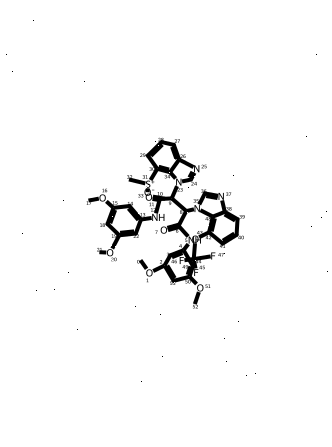 COc1cc(NC(=O)C(C(C(=O)Nc2cc(OC)cc(OC)c2)n2cnc3cccc([S+](C)[O-])c32)n2cnc3cccc(OC(F)(F)F)c32)cc(OC)c1